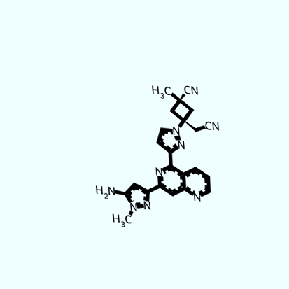 Cn1nc(-c2cc3ncccc3c(-c3ccn([C@]4(CC#N)C[C@@](C)(C#N)C4)n3)n2)cc1N